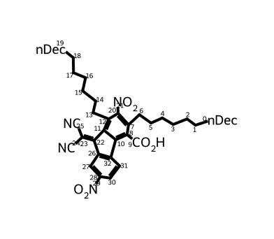 CCCCCCCCCCCCCCCCc1c(C(=O)O)c2c(c(CCCCCCCCCCCCCCCC)c1[N+](=O)[O-])C(=C(C#N)C#N)c1cc([N+](=O)[O-])ccc1-2